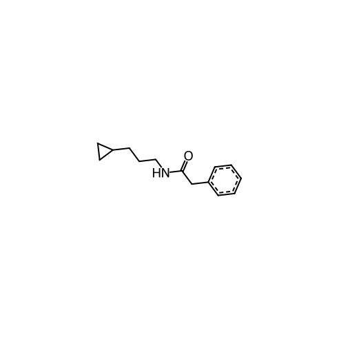 O=C(Cc1ccccc1)NCCCC1CC1